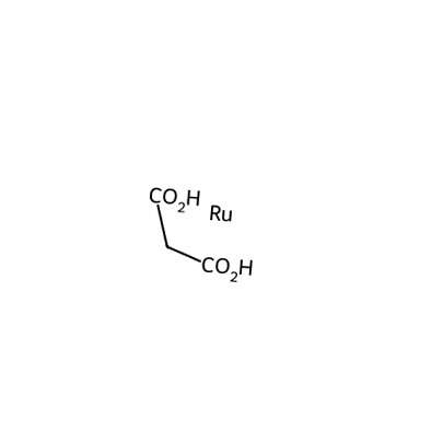 O=C(O)CC(=O)O.[Ru]